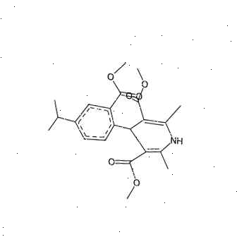 COC(=O)C1=C(C)NC(C)=C(C(=O)OC)C1c1ccc(C(C)C)cc1C(=O)OC